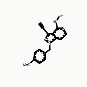 C#Cc1nn(Cc2ccc(OC)cc2)c2ccnc(NC(C)C)c12